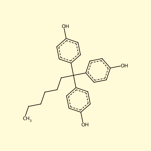 CCCCCCC(c1ccc(O)cc1)(c1ccc(O)cc1)c1ccc(O)cc1